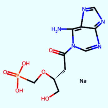 Nc1c2ncnc-2ncn1C(=O)C[C@H](CO)OCP(=O)(O)O.[Na]